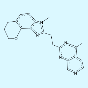 Cc1nc(CCc2nc3c4c(ccc3n2C)CCCO4)nc2cnccc12